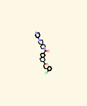 O=C(/C=C\c1ccccc1Cl)C1CCc2ccc(C(=O)N3CCC4(CC3)CCN(c3ccncc3)CC4)cc2C1